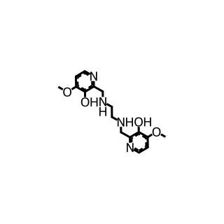 COc1ccnc(CNCCNCc2nccc(OC)c2O)c1O